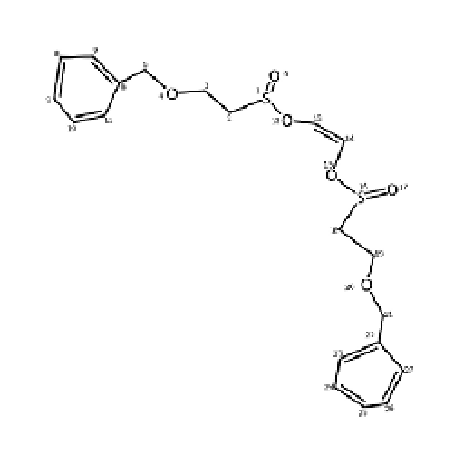 O=S(CCOCc1ccccc1)O/C=C\OS(=O)CCOCc1ccccc1